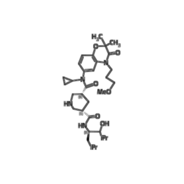 COCCCN1C(=O)C(C)(C)Oc2ccc(N(C(=O)[C@H]3CNC[C@@H](C(=O)N[C@H](CC(C)C)C(O)C(C)C)C3)C3CC3)cc21